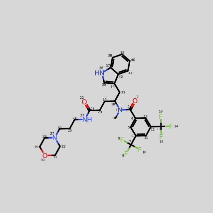 CN(C(=O)c1cc(C(F)(F)F)cc(C(F)(F)F)c1)C(CCC(=O)NCCCN1CCOCC1)Cc1c[nH]c2ccccc12